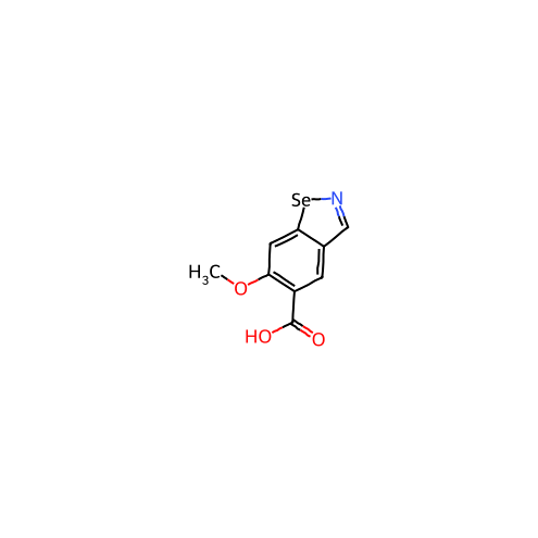 COc1cc2[se]ncc2cc1C(=O)O